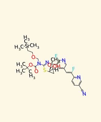 CC(C)(C)OC(=O)N(COCC[Si](C)(C)C)C1=N[C@](C)(c2cc(/C=C(\F)c3ccc(C#N)cn3)cnc2F)[C@@H]2C[C@]2(C(=O)O)S1